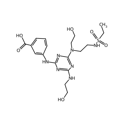 CCS(=O)(=O)NCCN(CCO)c1nc(NCCO)nc(Nc2cccc(C(=O)O)c2)n1